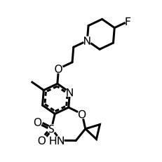 Cc1cc2c(nc1OCCN1CCC(F)CC1)OC1(CC1)CNS2(=O)=O